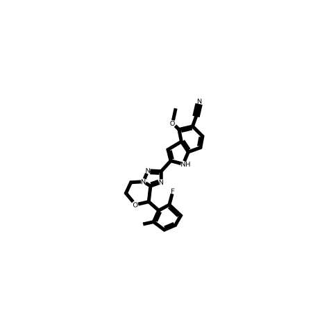 COc1c(C#N)ccc2[nH]c(-c3nc4n(n3)CCOC4c3c(C)cccc3F)cc12